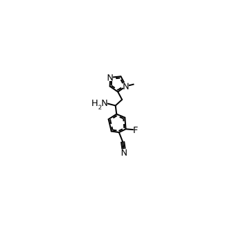 Cn1cncc1CC(N)c1ccc(C#N)c(F)c1